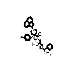 C[C@@H](NC[C@@H](O)CN1CN(c2ccc(F)cc2)C2(CCN([C@H]3Cc4cccc5cccc3c45)CC2)C1=O)c1ccccc1